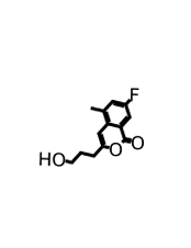 Cc1cc(F)cc2c(=O)oc(CCCO)cc12